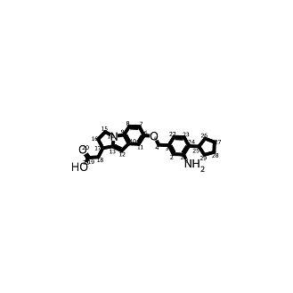 Nc1cc(COc2ccc3c(c2)cc2n3CCC2CC(=O)O)ccc1C1CCCC1